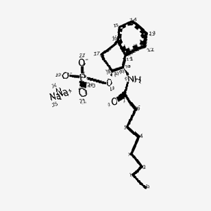 CCCCCCCC(=O)N[C@@H]1c2ccccc2C[C@H]1OP(=O)([O-])[O-].[Na+].[Na+]